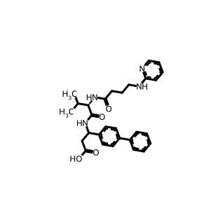 CC(C)[C@@H](NC(=O)CCCNc1ccccn1)C(=O)NC(CC(=O)O)c1ccc(-c2ccccc2)cc1